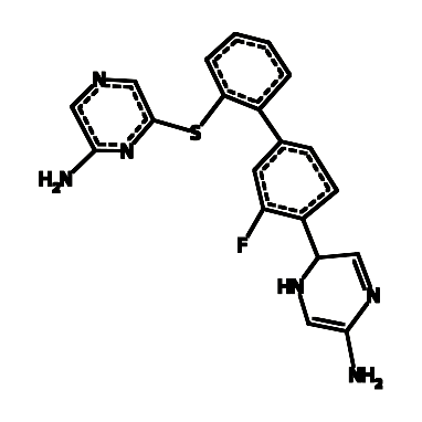 NC1=CNC(c2ccc(-c3ccccc3Sc3cncc(N)n3)cc2F)C=N1